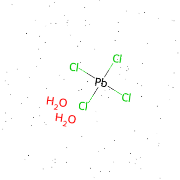 O.O.[Cl][Pb]([Cl])([Cl])[Cl]